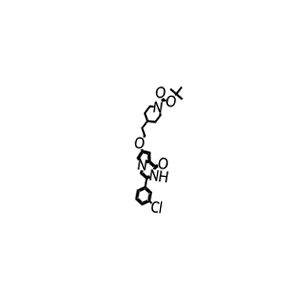 CC(C)(C)OC(=O)N1CCC(CCOc2cc3c(=O)[nH]c(-c4cccc(Cl)c4)cn3c2)CC1